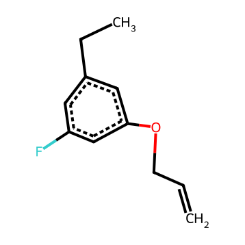 C=CCOc1cc(F)cc(CC)c1